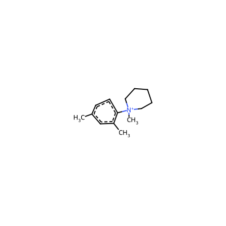 Cc1ccc([N+]2(C)CCCCC2)c(C)c1